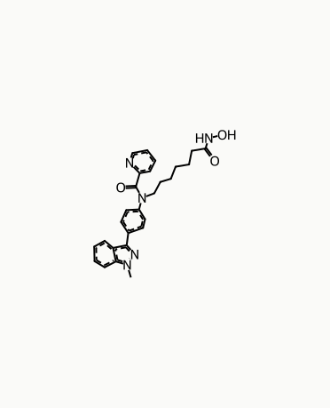 Cn1nc(-c2ccc(N(CCCCCCC(=O)NO)C(=O)c3ccccn3)cc2)c2ccccc21